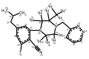 [2H]C([2H])([2H])C1([2H])N(Cc2cccnn2)C([2H])([2H])C([2H])([2H])N(c2cc(CC(C)C)cc(F)c2C#N)C1([2H])[2H]